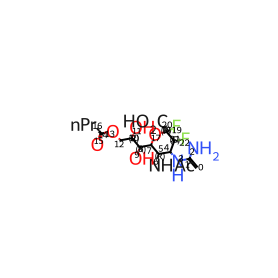 C=C(N)NC1[C@@H](NC(C)=O)C([C@H](O)[C@H](O)COC(=O)CCC)O[C@@](F)(C(=O)O)[C@H]1F